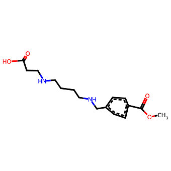 COC(=O)c1ccc(CNCCCCNCCC(=O)O)cc1